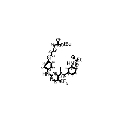 CCS(=O)(=O)Nc1cccc(CNc2nc(Nc3ccc(OCCOCC(=O)OC(C)(C)C)cc3)ncc2C(F)(F)F)c1